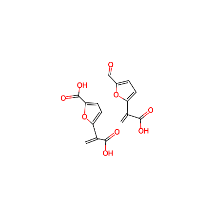 C=C(C(=O)O)c1ccc(C(=O)O)o1.C=C(C(=O)O)c1ccc(C=O)o1